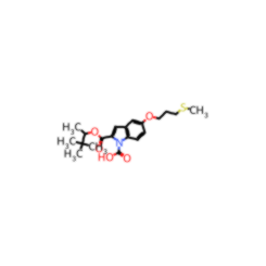 CSCCCOc1ccc2c(c1)cc(C(=O)OC(C)C(C)(C)C)n2C(=O)O